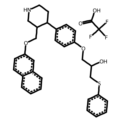 O=C(O)C(F)(F)F.OC(COc1ccc(C2CCNCC2COc2ccc3ccccc3c2)cc1)CSc1ccccc1